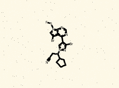 N#CCC(C1CCCC1)n1cc(-c2ncnc3c2c(Br)cn3SF)c(Br)n1